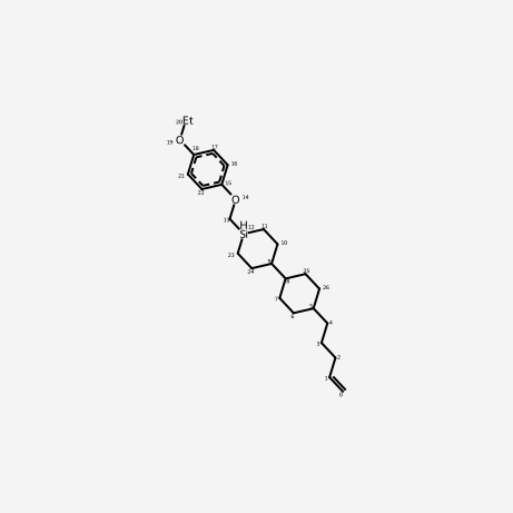 C=CCCCC1CCC(C2CC[SiH](COc3ccc(OCC)cc3)CC2)CC1